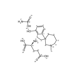 CCC1(c2cccc(O)c2)CCCCN(C)C1.NC(=O)O.N[C@@H](CCC(=O)O)C(=O)O